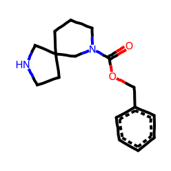 O=C(OCc1ccccc1)N1CCCC2(CCNC2)C1